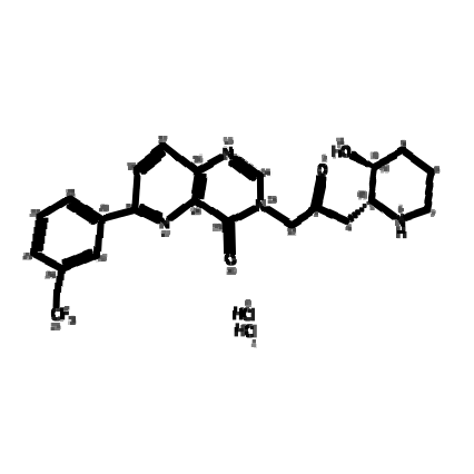 Cl.Cl.O=C(C[C@H]1NCCC[C@@H]1O)Cn1cnc2ccc(-c3cccc(C(F)(F)F)c3)nc2c1=O